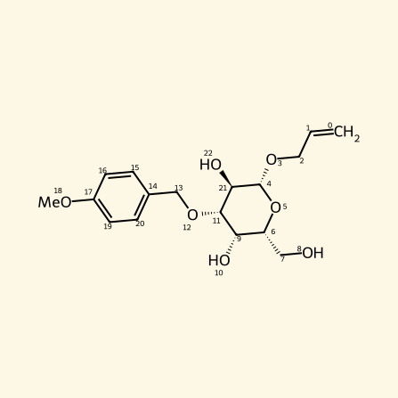 C=CCO[C@@H]1O[C@H](CO)[C@H](O)[C@H](OCc2ccc(OC)cc2)[C@H]1O